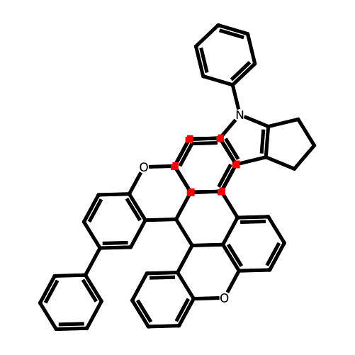 C1=CC2Oc3ccc(-c4ccccc4)cc3C(C3c4ccccc4Oc4cccc(C5CC=Cc6c5c5c(n6-c6ccccc6)CCC5)c43)C2C=C1